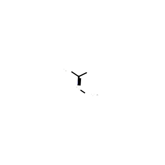 CO/N=C(/C#N)C(=O)O